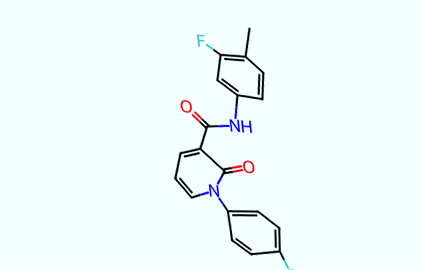 Cc1ccc(NC(=O)c2cccn(-c3ccc(F)cc3)c2=O)cc1F